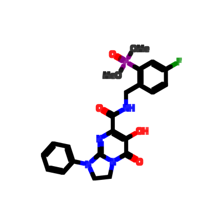 COP(=O)(OC)c1cc(F)ccc1CNC(=O)c1nc2n(c(=O)c1O)CCN2c1ccccc1